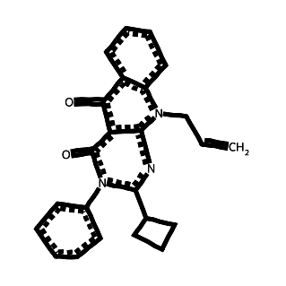 C=CCn1c2ccccc2c(=O)c2c(=O)n(-c3ccccc3)c(C3CCC3)nc21